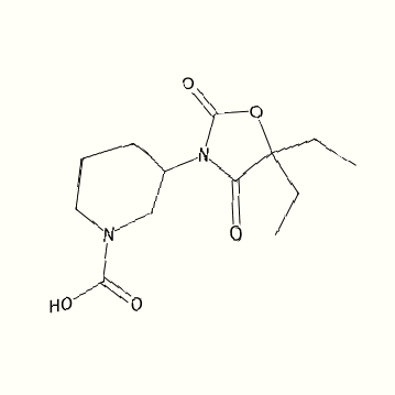 CCC1(CC)OC(=O)N(C2CCCN(C(=O)O)C2)C1=O